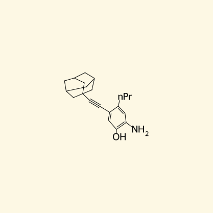 CCCc1cc(N)c(O)cc1C#CC12CC3CC(CC(C3)C1)C2